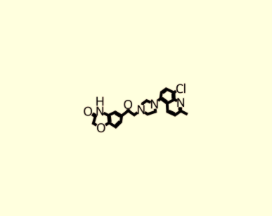 Cc1ccc2c(N3CCN(CC(=O)c4ccc5c(c4)NC(=O)CO5)CC3)ccc(Cl)c2n1